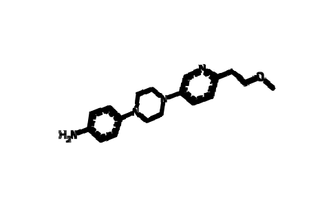 COC[CH]c1ccc(N2CCN(c3ccc(N)cc3)CC2)cn1